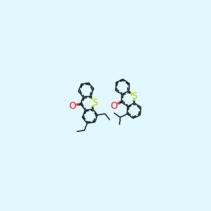 CC(C)c1cccc2sc3ccccc3c(=O)c12.CCc1cc(CC)c2sc3ccccc3c(=O)c2c1